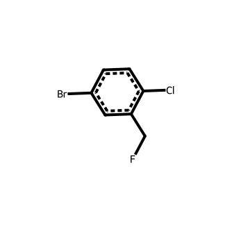 FCc1cc(Br)ccc1Cl